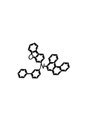 c1ccc(-c2cccc(N(c3ccc4c(c3)oc3ccccc34)c3cc4ccc5ccccc5c4c4ccccc34)c2)cc1